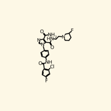 NC(=O)c1ncn(-c2ccc(NC(=O)c3ccc(F)cc3Cl)cc2)c1C(=O)NCCN1CCCC(F)C1